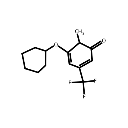 CC1C(=O)C=C(C(F)(F)F)C=C1OC1CCCCC1